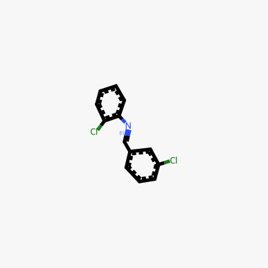 Clc1cccc(/C=N/c2ccccc2Cl)c1